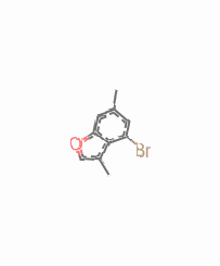 Cc1cc(Br)c2c(C)coc2c1